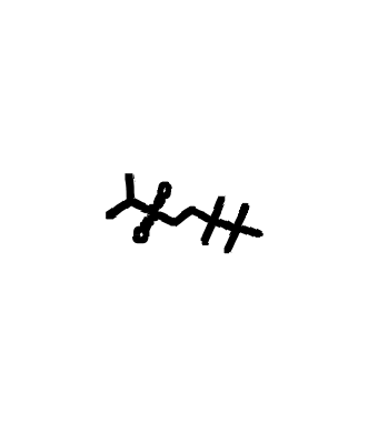 CC(C)S(=O)(=O)CCC(C)(C)C(C)(C)C